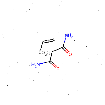 C=CC(=O)O.NC(=O)CC(N)=O